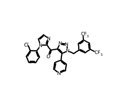 O=C(c1nnn(Cc2cc(C(F)(F)F)cc(C(F)(F)F)c2)c1-c1ccncc1)c1nccn1-c1ccccc1Cl